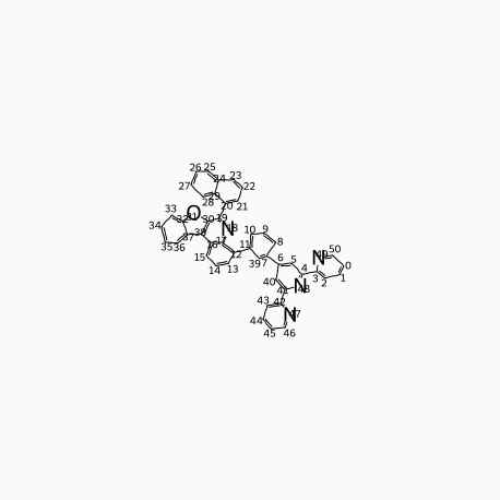 c1ccc(-c2cc(-c3cccc(-c4cccc5c4nc(-c4cccc6ccccc46)c4oc6ccccc6c45)c3)cc(-c3ccccn3)n2)nc1